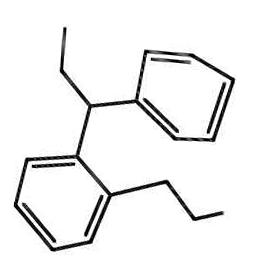 CCCc1ccccc1C(CC)c1ccccc1